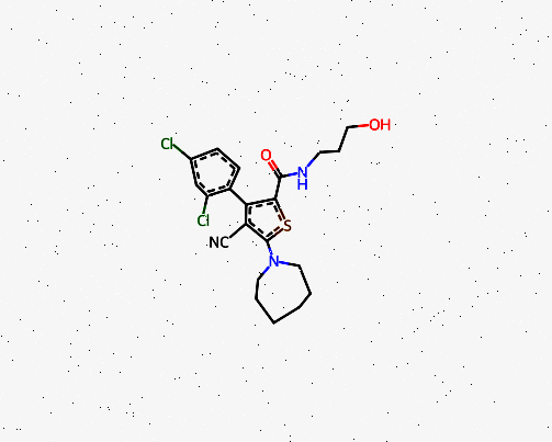 N#Cc1c(N2CCCCCC2)sc(C(=O)NCCCO)c1-c1ccc(Cl)cc1Cl